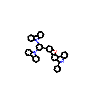 c1ccc(-c2nc3ccccc3c3c2ccc2c4cc(-c5cc(-n6c7ccccc7c7ccccc76)cc(-n6c7ccccc7c7ccccc76)c5)ccc4oc23)cc1